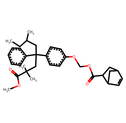 CCC(C)CC(CC(C)(C)C(=O)OC)(c1ccccc1)c1ccc(OCOC(=O)C2CC3C=CC2C3)cc1